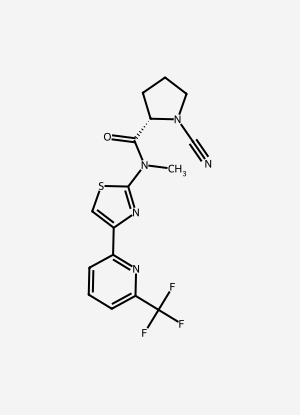 CN(C(=O)[C@@H]1CCCN1C#N)c1nc(-c2cccc(C(F)(F)F)n2)cs1